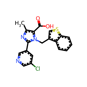 Cc1nc(-c2cncc(Cl)c2)n(Cc2csc3ccccc23)c1C(=O)O